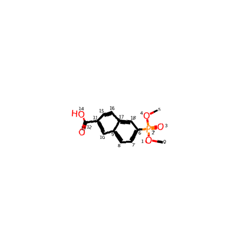 COP(=O)(OC)c1ccc2cc(C(=O)O)ccc2c1